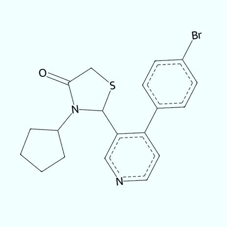 O=C1CSC(c2cnccc2-c2ccc(Br)cc2)N1C1CCCC1